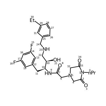 CCCN1C(=O)CN(CC(=O)N[C@@H](Cc2cc(F)cc(F)c2)[C@H](O)CNCc2cccc(CC)c2)CC1=O